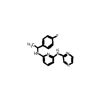 CC(Nc1c[c]cc(Nc2cnccn2)n1)c1ccc(F)cc1